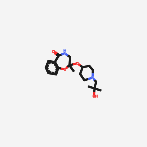 CC(C)(O)CN1CCC(OC2(C)CNC(=O)c3ccccc3O2)CC1